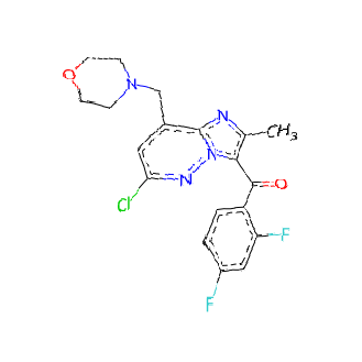 Cc1nc2c(CN3CCOCC3)cc(Cl)nn2c1C(=O)c1ccc(F)cc1F